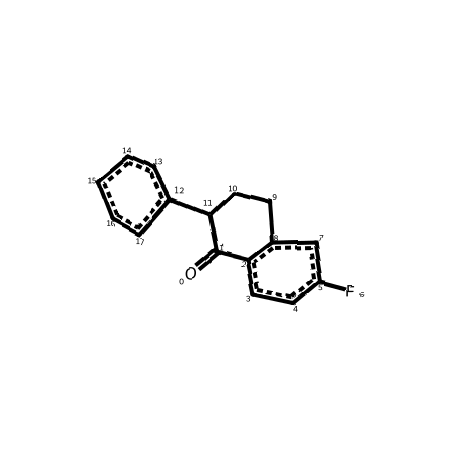 O=C1c2ccc(F)cc2CCC1c1ccccc1